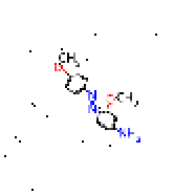 COc1ccc(/N=N/c2ccc(N)cc2OC)cc1